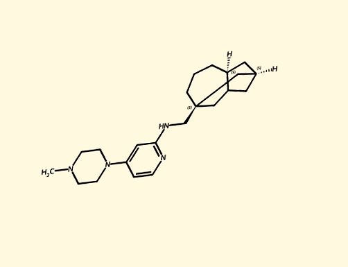 CN1CCN(c2ccnc(NC[C@]34CCC[C@H]5C[C@@H](CC5C3)C4)c2)CC1